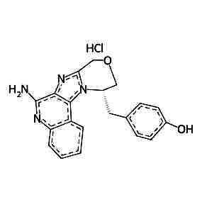 Cl.Nc1nc2ccccc2c2c1nc1n2[C@@H](Cc2ccc(O)cc2)COC1